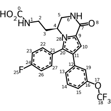 O=C(O)NCC[C@H]1CNC(=O)c2cc(-c3cccc(OC(F)(F)F)c3)c(-c3ccc(F)cc3)n21